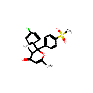 COC1=CC(=O)C(C)C(c2ccc(Cl)cc2)(c2ccc(S(C)(=O)=O)cc2)O1